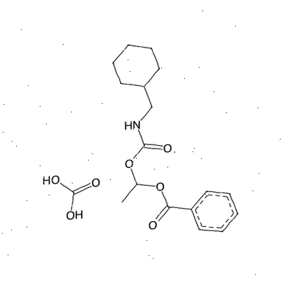 CC(OC(=O)NCC1CCCCC1)OC(=O)c1ccccc1.O=C(O)O